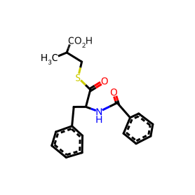 CC(CSC(=O)C(Cc1ccccc1)NC(=O)c1ccccc1)C(=O)O